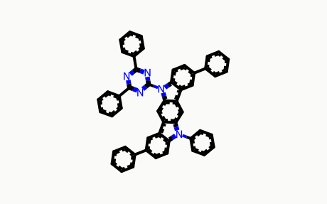 c1ccc(-c2ccc3c(c2)c2cc4c(cc2n3-c2ccccc2)c2cc(-c3ccccc3)ccc2n4-c2nc(-c3ccccc3)nc(-c3ccccc3)n2)cc1